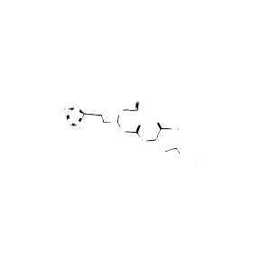 CCC[C@H](NC(=S)N[C@@H](CCc1nnn[nH]1)OC=O)C(=O)O